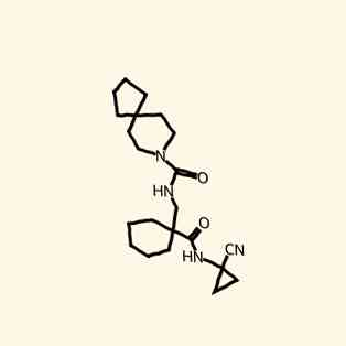 N#CC1(NC(=O)C2(CNC(=O)N3CCC4(CCCC4)CC3)CCCCC2)CC1